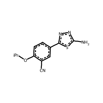 CC(C)Oc1ccc(-c2nnc(N)s2)cc1C#N